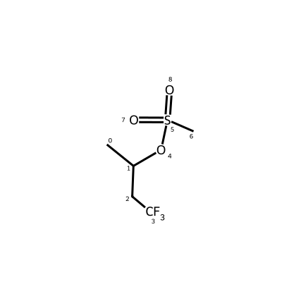 CC(CC(F)(F)F)OS(C)(=O)=O